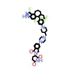 O=C1CC[C@H](N2Cc3cc(N4CCN(CC5CCN(c6ccc(C7=C(CC(F)(F)F)CCCc8c7ccc7[nH]nc(F)c87)c(F)c6)CC5)CC4)ccc3C2=O)C(=O)N1